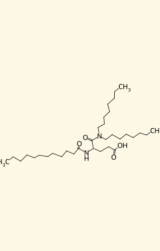 CCCCCCCCCCCC(=O)NC(CCC(=O)O)C(=O)N(CCCCCCCC)CCCCCCCC